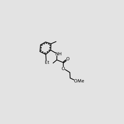 CCc1cccc(C)c1NC(C)C(=O)OCCOC